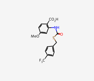 COc1ccc(C(=O)O)c(NC(=O)SCc2ccc(C(F)(F)F)cc2)c1